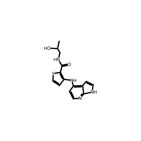 CC(O)CNC(=O)c1sccc1Nc1ccnc2[nH]ccc12